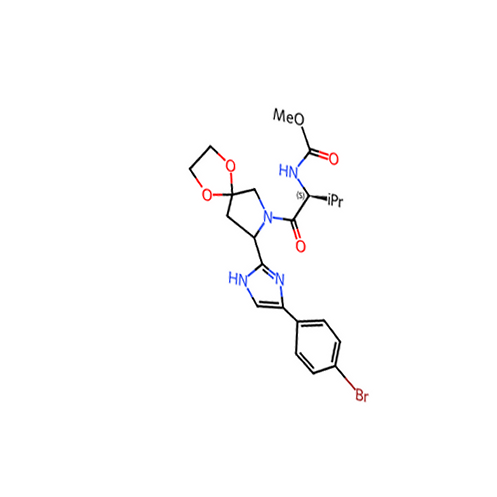 COC(=O)N[C@H](C(=O)N1CC2(CC1c1nc(-c3ccc(Br)cc3)c[nH]1)OCCO2)C(C)C